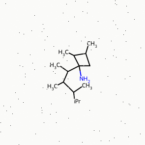 CC(C)C(C)C(C)C(C)C1(N)CC(C)C1C